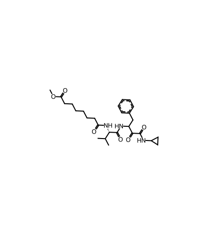 COC(=O)CCCCCCC(=O)N[C@H](C(=O)NC(Cc1ccccc1)C(=O)C(=O)NC1CC1)C(C)C